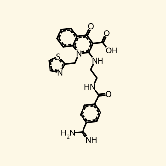 N=C(N)c1ccc(C(=O)NCCNc2c(C(=O)O)c(=O)c3ccccc3n2Cc2nccs2)cc1